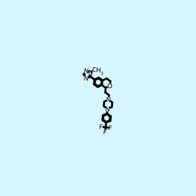 Cn1ncnc1-c1ccc2c(c1)CCOC2CCN1CCN(c2ccc(C(F)(F)F)cc2)CC1